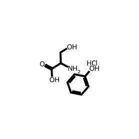 Cl.NC(CO)C(=O)O.Oc1ccccc1